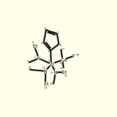 CC[N](C)[Zr]([C]1=CC=CC1)([N](C)CC)([N](C)CC)[Ge]([CH3])([CH3])[F]